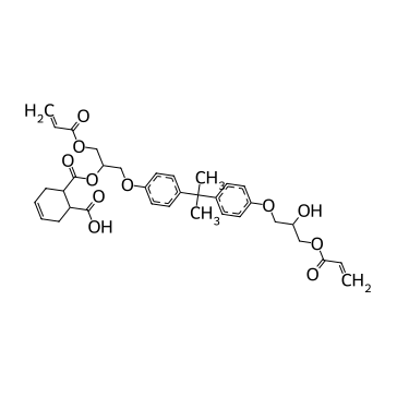 C=CC(=O)OCC(O)COc1ccc(C(C)(C)c2ccc(OCC(COC(=O)C=C)OC(=O)C3CC=CCC3C(=O)O)cc2)cc1